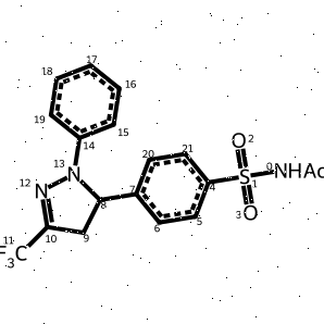 CC(=O)NS(=O)(=O)c1ccc(C2CC(C(F)(F)F)=NN2c2ccccc2)cc1